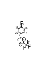 CC(OC(=O)C(F)(F)F)c1ccc(F)cc1